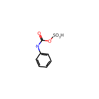 O=C([N]c1ccccc1)OS(=O)(=O)O